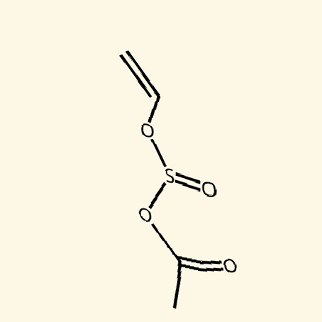 C=COS(=O)OC(C)=O